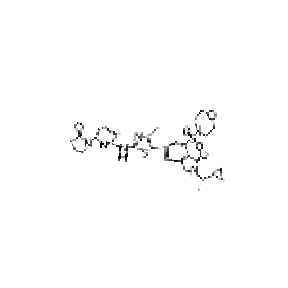 Cc1nc(Nc2cccc(N3CCCC3=O)n2)sc1-c1cc2c(c(S(=O)(=O)N3CCOCC3)c1)C(=O)N([C@@H](C)C1CC1)C2